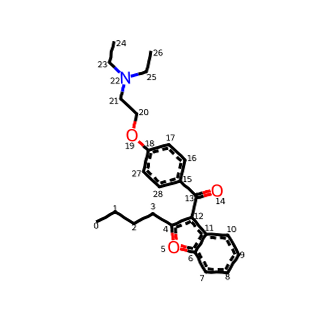 CCCCc1oc2ccccc2c1C(=O)c1ccc(OCCN(CC)CC)cc1